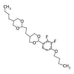 CCCCOc1ccc(C2OCC(CCC3OCC(CCCC)CO3)CO2)c(F)c1F